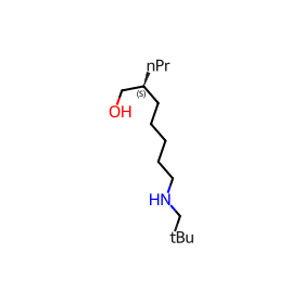 CCC[C@H](CO)CCCCCNCC(C)(C)C